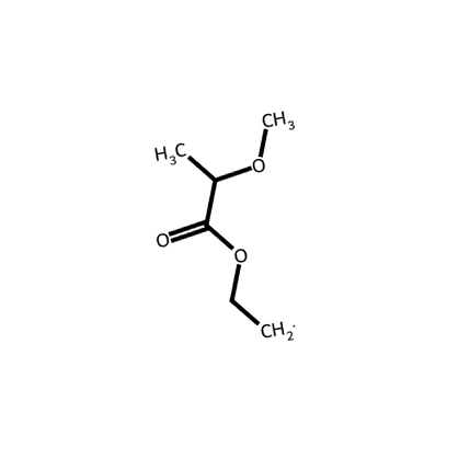 [CH2]COC(=O)C(C)OC